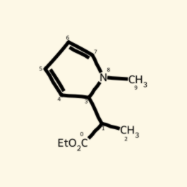 CCOC(=O)C(C)C1C=CC=CN1C